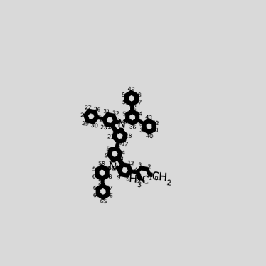 C=C/C=C\C(=C/C)c1ccc2c(c1)c1cc(-c3ccc4c(c3)c3cc(-c5ccccc5)ccc3n4-c3cc(-c4ccccc4)cc(-c4ccccc4)c3)ccc1n2-c1cccc(-c2ccccc2)c1